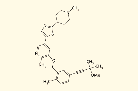 COC(C)(C)C#Cc1ccc(C)c(COc2cc(-c3cnc(C4CCN(C)CC4)s3)cnc2N)c1